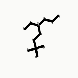 CCCN(CC)CCC(C)(C)C